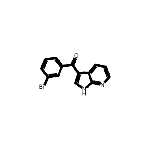 O=C(c1cccc(Br)c1)c1c[nH]c2ncccc12